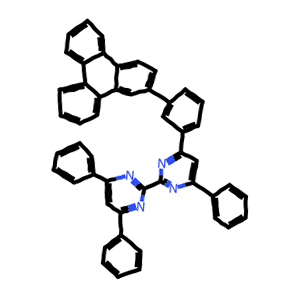 c1ccc(-c2cc(-c3ccccc3)nc(-c3nc(-c4ccccc4)cc(-c4cccc(-c5ccc6c7ccccc7c7ccccc7c6c5)c4)n3)n2)cc1